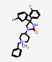 C[N+]1(Cc2ccccc2)CCC(N2CC(c3cccc(F)c3)(c3cccc(F)c3)NC2=O)CC1